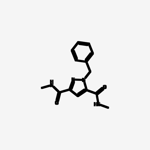 CNC(=O)c1cc(C(=O)NC)n(Cc2ccccc2)n1